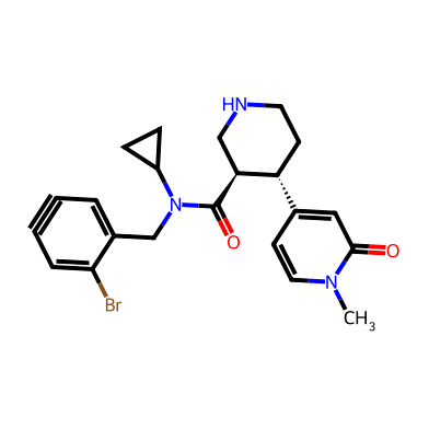 Cn1ccc([C@H]2CCNC[C@@H]2C(=O)N(Cc2cc#ccc2Br)C2CC2)cc1=O